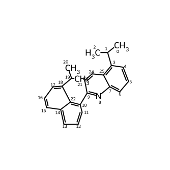 CC(C)c1cccc2nc(-c3cccc4cccc(C(C)C)c34)ccc12